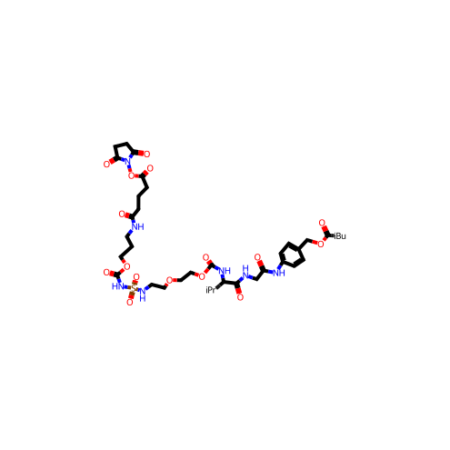 CCC(C)C(=O)OCc1ccc(NC(=O)CNC(=O)C(NC(=O)OCCOCCNS(=O)(=O)NC(=O)OCCCNC(=O)CCCC(=O)ON2C(=O)CCC2=O)C(C)C)cc1